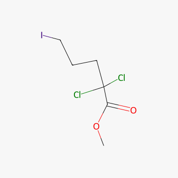 COC(=O)C(Cl)(Cl)CCCI